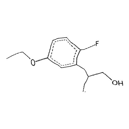 [CH2]C(CO)c1cc(OCC)ccc1F